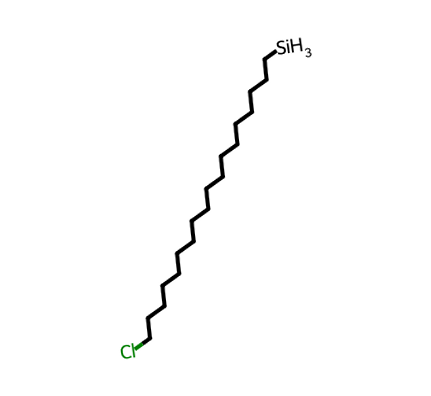 [SiH3]CCCCCCCCCCCCCCCCCCCl